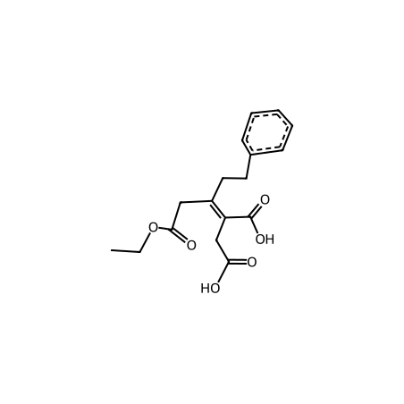 CCOC(=O)CC(CCc1ccccc1)=C(CC(=O)O)C(=O)O